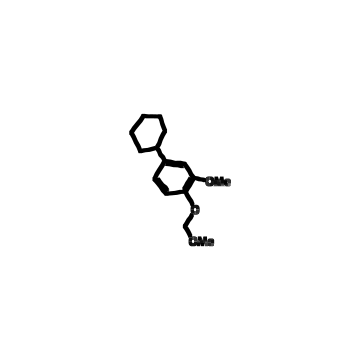 COCOc1ccc(C2CCCCC2)cc1OC